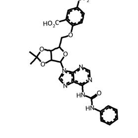 CC1(C)OC2C(COc3ccc(C(=O)O)cc3C(=O)O)OC(n3cnc4c(NC(=O)Nc5ccccc5)ncnc43)C2O1